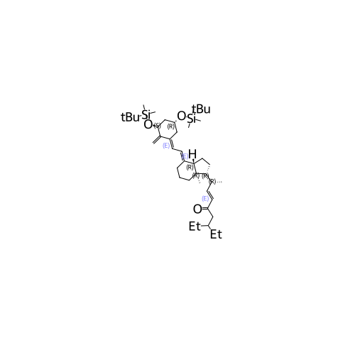 C=C1/C(=C/C=C2\CCC[C@]3(C)[C@@H]([C@H](C)/C=C/C(=O)CC(CC)CC)CC[C@@H]23)C[C@@H](O[Si](C)(C)C(C)(C)C)C[C@@H]1O[Si](C)(C)C(C)(C)C